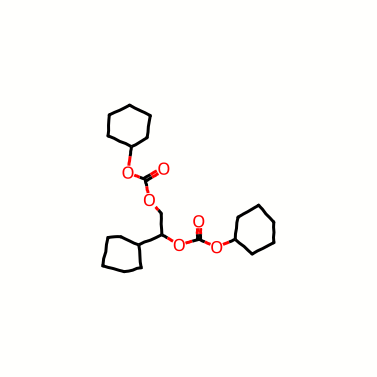 O=C(OCC(OC(=O)OC1CCCCC1)C1CCCCC1)OC1CCCCC1